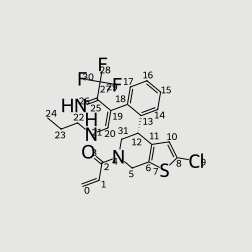 C=CC(=O)N1Cc2sc(Cl)cc2[C@@H](c2ccccc2/C(=C/NCCC)C(=N)C(F)(F)F)C1